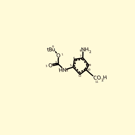 CC(C)(C)OC(=O)Nc1cc(N)cc(C(=O)O)c1